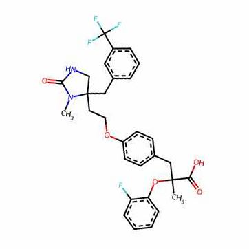 CN1C(=O)NCC1(CCOc1ccc(CC(C)(Oc2ccccc2F)C(=O)O)cc1)Cc1cccc(C(F)(F)F)c1